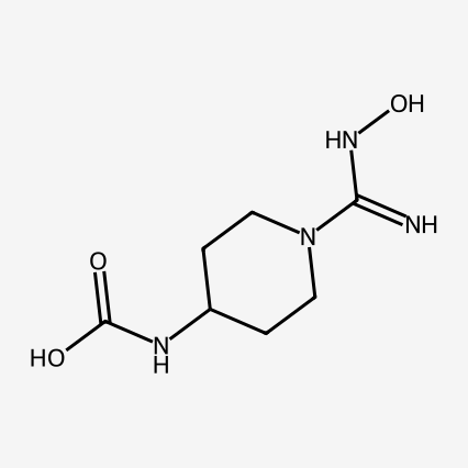 N=C(NO)N1CCC(NC(=O)O)CC1